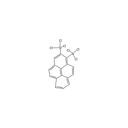 Cl[Si](Cl)(Cl)c1cc2ccc3cccc4ccc(c1[Si](Cl)(Cl)Cl)c2c34